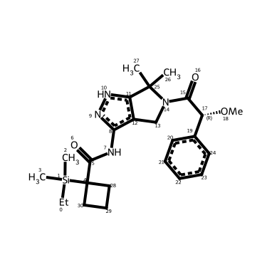 CC[Si](C)(C)C1(C(=O)Nc2n[nH]c3c2CN(C(=O)[C@H](OC)c2ccccc2)C3(C)C)CCC1